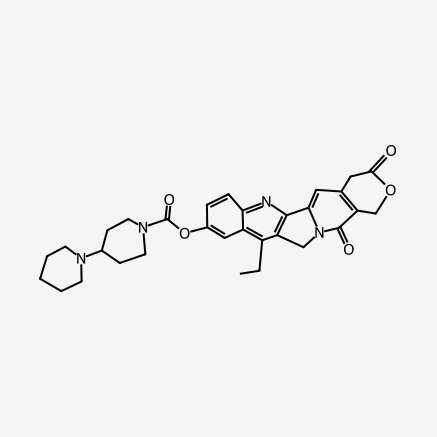 CCc1c2c(nc3ccc(OC(=O)N4CCC(N5CCCCC5)CC4)cc13)-c1cc3c(c(=O)n1C2)COC(=O)C3